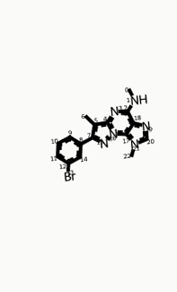 CNc1nc2c(C)c(-c3cccc(Br)c3)nn2c2c1ncn2C